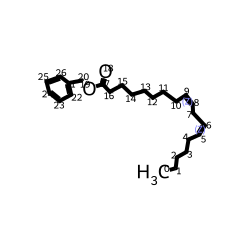 CCCCC/C=C\C/C=C\CCCCCCCC(=O)OCc1ccccc1